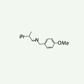 COc1ccc(CN=CC(C)C(C)C)cc1